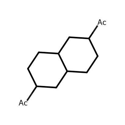 CC(=O)C1CCC2CC(C(C)=O)CCC2C1